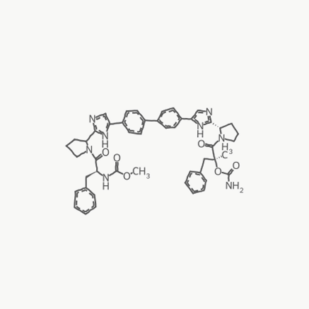 COC(=O)N[C@@H](Cc1ccccc1)C(=O)N1CCCC1c1ncc(-c2ccc(-c3ccc(-c4cnc([C@@H]5CCCN5C(=O)[C@](C)(Cc5ccccc5)OC(N)=O)[nH]4)cc3)cc2)[nH]1